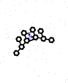 c1ccc(-c2ccc(-c3cc4c5c(c3)c3cc(-c6ccc(-c7ccccc7)cc6-c6ccccc6)cc6c3n5B(c3ccccc3-4)c3ccccc3-6)c(-c3ccccc3)c2)cc1